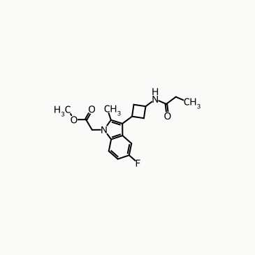 CCC(=O)NC1CC(c2c(C)n(CC(=O)OC)c3ccc(F)cc23)C1